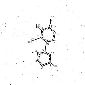 Cc1ccnc(-c2ccc(F)c(I)c2F)c1